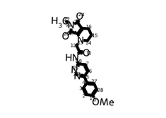 COc1ccc(-c2ccc(NC(=O)CN3CCCC4=C3C(=O)N(C)C4=O)nn2)cc1